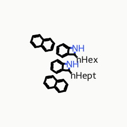 CCCCCCC1Nc2ccccc21.CCCCCCCC1Nc2ccccc21.c1ccc2ccccc2c1.c1ccc2ccccc2c1